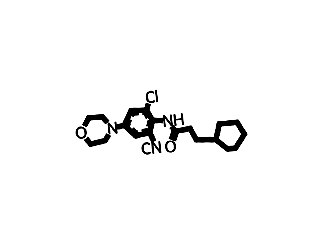 N#Cc1cc(N2CCOCC2)cc(Cl)c1NC(=O)CCC1CCCCC1